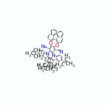 CC(C)(C)c1ccc2c(c1)c1cc(C(C)(C)C)ccc1n2-c1c(-n2c3ccc(C(C)(C)C)cc3c3cc(C(C)(C)C)ccc32)c(C#N)c2oc3ccc4ccccc4c3c3c(ccc4ccccc43)oc2c1C#N